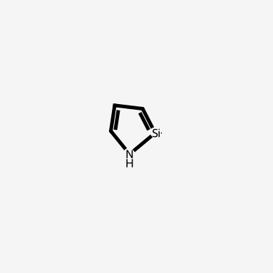 C1=CN[Si]=C1